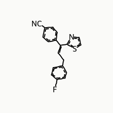 N#Cc1ccc(C(=CCc2ccc(F)cc2)c2nccs2)cc1